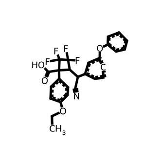 CCOc1ccc(C2(C(=O)O)C(C(C#N)c3cccc(Oc4ccccc4)c3)C(F)(F)C2(F)F)cc1